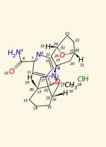 CO[C@]1(c2ccnc(C(N)=O)c2)[C@@H]2CCC[C@H]1CN([C@@H]1C[C@H]3CC[C@@H](C1)O3)C2.Cl